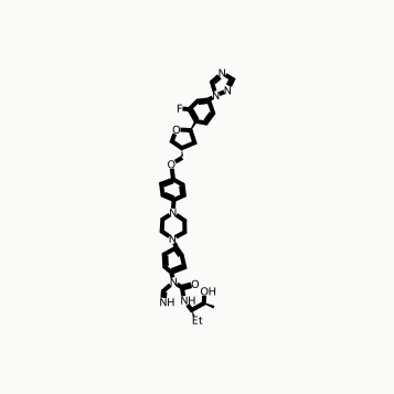 CC[C@H](NC(=O)N(C=N)c1ccc(N2CCN(c3ccc(OC[C@@H]4CO[C@@H](c5ccc(-n6cncn6)cc5F)C4)cc3)CC2)cc1)[C@H](C)O